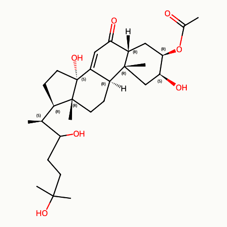 CC(=O)O[C@@H]1C[C@H]2C(=O)C=C3[C@H](CC[C@]4(C)[C@@H]([C@H](C)C(O)CCC(C)(C)O)CC[C@@]34O)[C@@]2(C)C[C@@H]1O